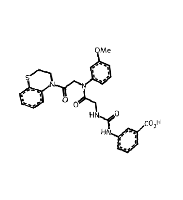 COc1cccc(N(CC(=O)N2CCSc3ccccc32)C(=O)CNC(=O)Nc2cccc(C(=O)O)c2)c1